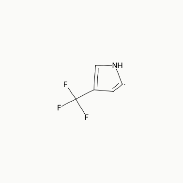 FC(F)(F)c1c[c][nH]c1